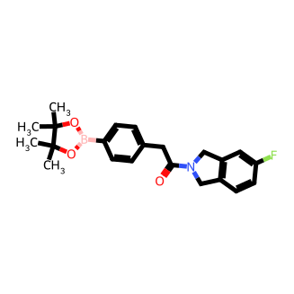 CC1(C)OB(c2ccc(CC(=O)N3Cc4ccc(F)cc4C3)cc2)OC1(C)C